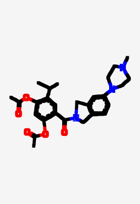 CC(=O)Oc1cc(OC(C)=O)c(C(C)C)cc1C(=O)N1Cc2ccc(N3CCN(C)CC3)cc2C1